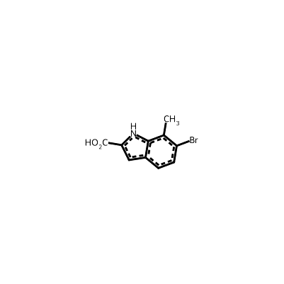 Cc1c(Br)ccc2cc(C(=O)O)[nH]c12